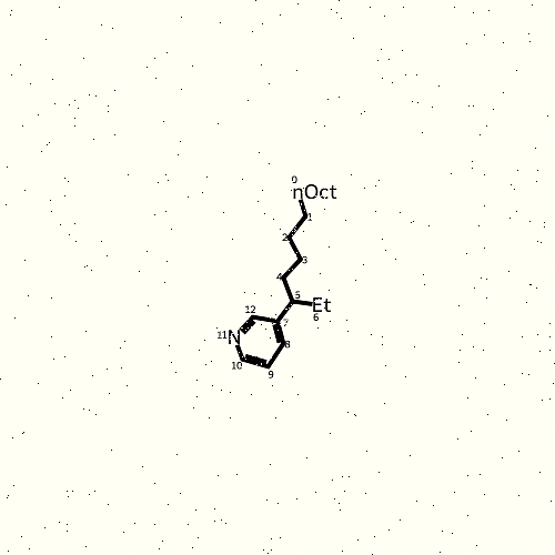 CCCCCCCCCCCCC(CC)c1cccnc1